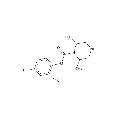 CC1CNCC(C)N1C(=O)Oc1ccc(Br)cc1C#N